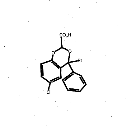 CCC1(c2ccccc2)OC(C(=O)O)Oc2ccc(Cl)cc21